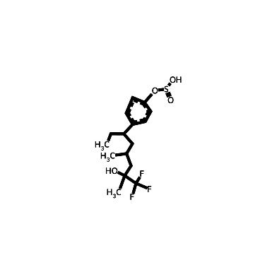 CCC(CC(C)CC(C)(O)C(F)(F)F)c1ccc(OS(=O)O)cc1